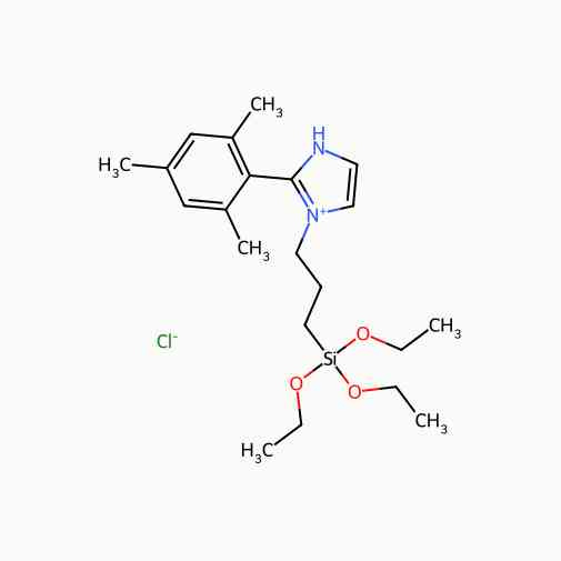 CCO[Si](CCC[n+]1cc[nH]c1-c1c(C)cc(C)cc1C)(OCC)OCC.[Cl-]